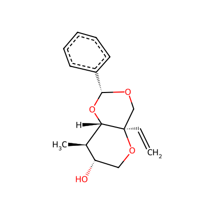 C=C[C@@]12CO[C@@H](c3ccccc3)O[C@H]1[C@H](C)[C@@H](O)CO2